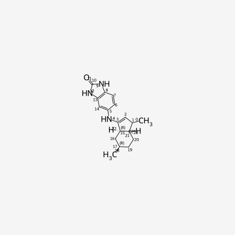 CC1C=C(Nc2ccc3[nH]c(=O)[nH]c3c2)[C@@H]2C[C@H](C)CC[C@@H]12